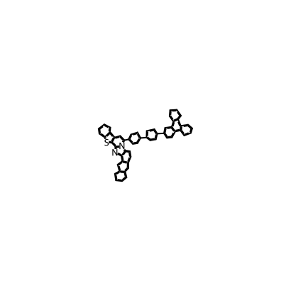 c1ccc2cc3c(ccc4c3nc3c5sc6ccccc6c5cc(-c5ccc(-c6ccc(-c7ccc8c9ccccc9c9ccccc9c8c7)cc6)cc5)n43)cc2c1